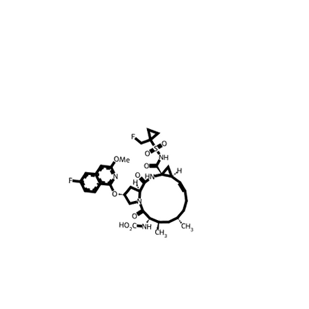 COc1cc2cc(F)ccc2c(O[C@@H]2C[C@H]3C(=O)N[C@]4(C(=O)NS(=O)(=O)C5(CF)CC5)C[C@H]4C=CCC[C@H](C)C[C@@H](C)[C@H](NC(=O)O)C(=O)N3C2)n1